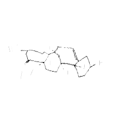 CC1CC[C@@]2(C)C(=CC[C@@H]3[C@H]2CC[C@]2(C)C(=O)C(C)C[C@@H]32)C1